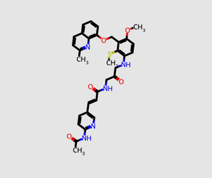 COc1ccc(NCC(=O)CNC(=O)C=Cc2ccc(NC(C)=O)nc2)c(SC)c1COc1cccc2ccc(C)nc12